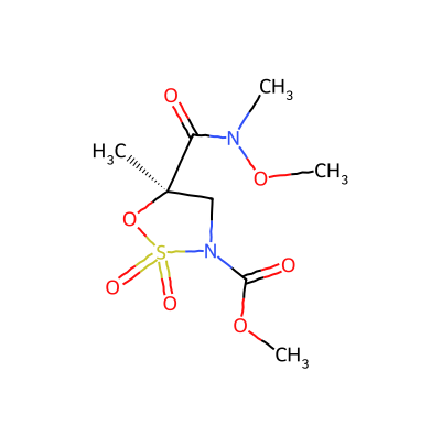 COC(=O)N1C[C@](C)(C(=O)N(C)OC)OS1(=O)=O